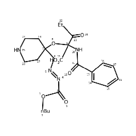 CCCCOC(=O)N=NCC1(OC(NC(=O)c2ccccc2)(C(=O)O)C(=O)CC)CCNCC1